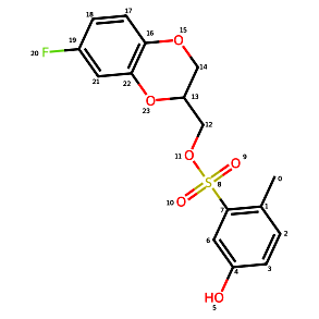 Cc1ccc(O)cc1S(=O)(=O)OCC1COc2ccc(F)cc2O1